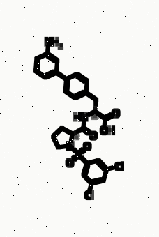 Nc1cccc(-c2ccc(C[C@H](NC(=O)[C@@H]3CCCN3S(=O)(=O)c3cc(Cl)cc(Cl)c3)C(=O)O)cc2)c1